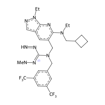 CCN(CC1CCC1)c1nc2c(cnn2CC)cc1CN(Cc1cc(C(F)(F)F)cc(C(F)(F)F)c1)/C(N=N)=N/NC